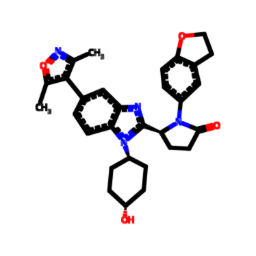 Cc1noc(C)c1-c1ccc2c(c1)nc([C@@H]1CCC(=O)N1c1ccc3c(c1)CCO3)n2[C@H]1CC[C@H](O)CC1